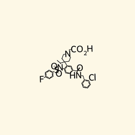 CC1N(S(=O)(=O)c2ccc(F)cc2)c2ccc(C(=O)NCc3ccccc3Cl)cc2C12CCN(CC(=O)O)CC2